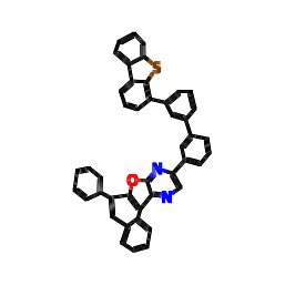 c1ccc(-c2cc3ccccc3c3c2oc2nc(-c4cccc(-c5cccc(-c6cccc7c6sc6ccccc67)c5)c4)cnc23)cc1